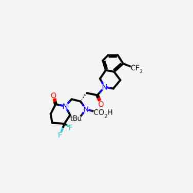 CC(C)(C)N(C(=O)O)[C@@H](CC(=O)N1CCc2c(cccc2C(F)(F)F)C1)CN1CC(F)(F)CCC1=O